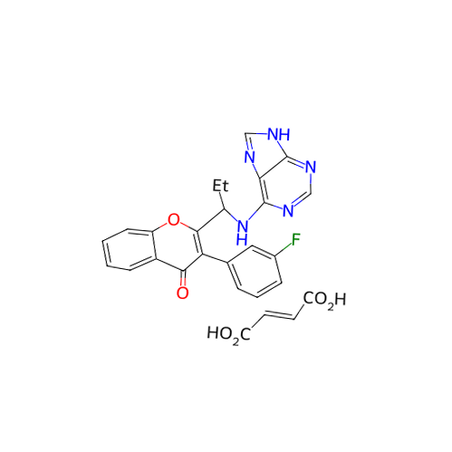 CCC(Nc1ncnc2[nH]cnc12)c1oc2ccccc2c(=O)c1-c1cccc(F)c1.O=C(O)/C=C/C(=O)O